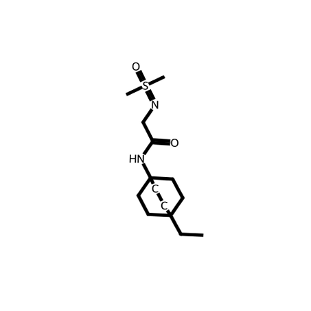 CCC12CCC(NC(=O)CN=S(C)(C)=O)(CC1)CC2